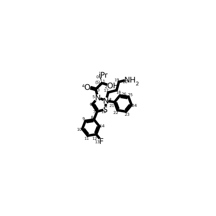 CC(C)[C@H](O)C(=O)N1C=C(c2cccc(F)c2)S[N+]1(CCCN)c1ccccc1